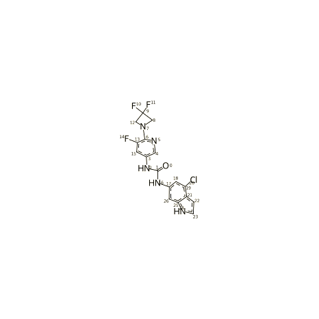 O=C(Nc1cnc(N2CC(F)(F)C2)c(F)c1)Nc1cc(Cl)c2cc[nH]c2c1